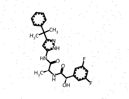 C[C@H](NC(=O)[C@H](O)c1cc(F)cc(F)c1)C(=O)Nc1cc(C(C)(C)c2ccccc2)n[nH]1